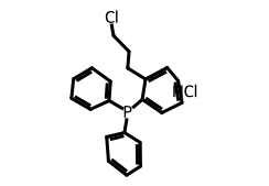 Cl.ClCCCc1ccccc1P(c1ccccc1)c1ccccc1